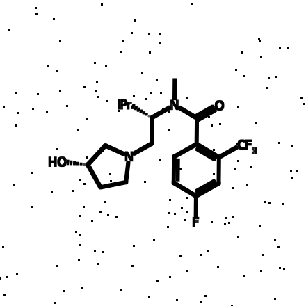 CC(C)[C@@H](CN1CC[C@H](O)C1)N(C)C(=O)c1ccc(F)cc1C(F)(F)F